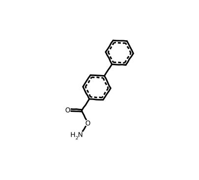 NOC(=O)c1ccc(-c2ccccc2)cc1